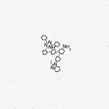 CCc1nc2ccccc2n1-c1ccc(-c2ccc(N)cc2-c2ccc(-c3ccccc3C3N=C(c4ccccc4)N=C(c4ccccc4)N3)cc2)cc1